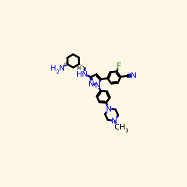 CN1CCN(c2ccc(-n3nc(NC[C@H]4CCC[C@H](N)C4)cc3-c3ccc(C#N)c(F)c3)cc2)CC1